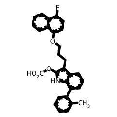 Cc1ccccc1-c1cccc2c(CCCOc3ccc(F)c4ccccc34)c(OC(=O)O)[nH]c12